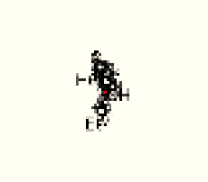 CCOc1ccc(OCC(=O)[C@@]2(O)CCC3C4CCC5=CC(=O)C=CC5(C)[C@H]4[C@@H](O)CC32C)cc1